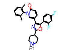 CCN1CCC(c2nc(-c3ccc(=O)n(-c4c(C)cccc4C)c3)c(-c3ccc(F)cc3F)o2)CC1